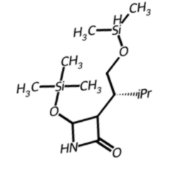 CC(C)[C@@H](CO[SiH](C)C)C1C(=O)NC1O[Si](C)(C)C